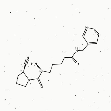 N#C[C@@H]1CCCN1C(=O)[C@@H](N)CCCCC(=O)NCc1cccnc1